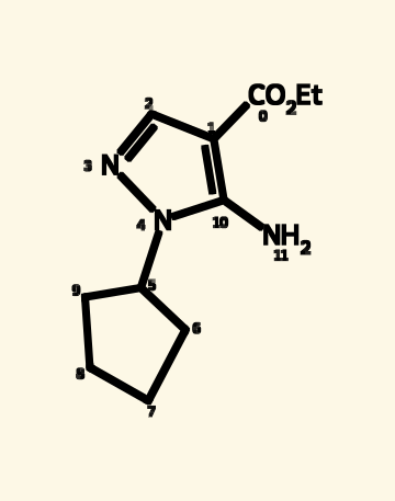 CCOC(=O)c1cnn(C2CCCC2)c1N